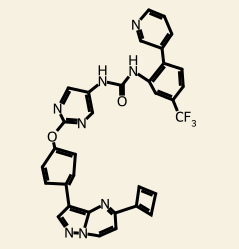 O=C(Nc1cnc(Oc2ccc(-c3cnn4ccc(C5=CC=C5)nc34)cc2)nc1)Nc1cc(C(F)(F)F)ccc1-c1cccnc1